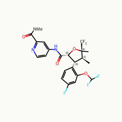 CNC(=O)c1cc(NC(=O)[C@@H]2O[C@@](C)(C(F)(F)F)[C@@H](C)[C@@H]2c2ccc(F)cc2OC(F)F)ccn1